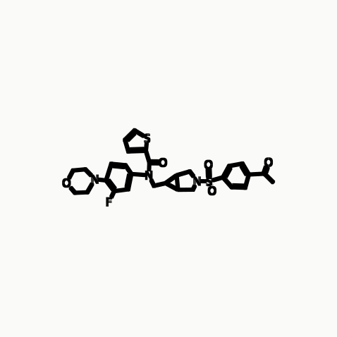 CC(=O)c1ccc(S(=O)(=O)N2CC3C(CN(C(=O)c4cccs4)c4ccc(N5CCOCC5)c(F)c4)C3C2)cc1